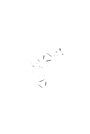 CCC[C@@H]1COC[C@@H](c2ccc(B3OC(C)(C)C(C)(C)O3)cc2)N1C(=O)OCc1ccccc1